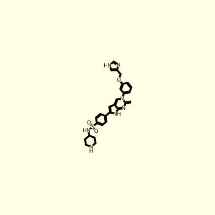 C=C1N=c2[nH]c(-c3ccc(S(=O)(=O)NC4CCNCC4)cc3)cc2=CN1c1cccc(OCc2c[nH]cn2)c1